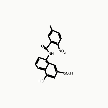 Cc1ccc([N+](=O)[O-])c(C(=O)Nc2cccc3c(O)cc(S(=O)(=O)O)cc23)c1